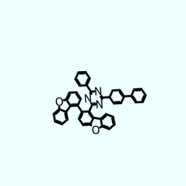 C1=CC(c2nc(-c3ccccc3)nc(-c3c(-c4cccc5oc6ccccc6c45)ccc4oc5ccccc5c34)n2)CC=C1c1ccccc1